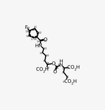 O=C(O)CCC(NC(=O)OC(CCCCNC(=O)c1ccc(F)cc1)C(=O)O)C(=O)O